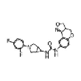 O=C(Nc1ccc2c(c1)C1=NOCC1CO2)NC1C2CN(c3ccc(F)cc3F)CC21